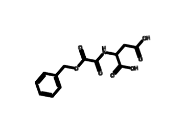 O=C(O)CC(NC(=O)C(=O)OCc1ccccc1)C(=O)O